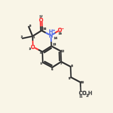 CC1(C)Oc2ccc(CCCC(=O)O)cc2[NH+]([O-])C1=O